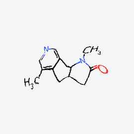 Cc1cncc2c1CC1CC(=O)N(C)C21